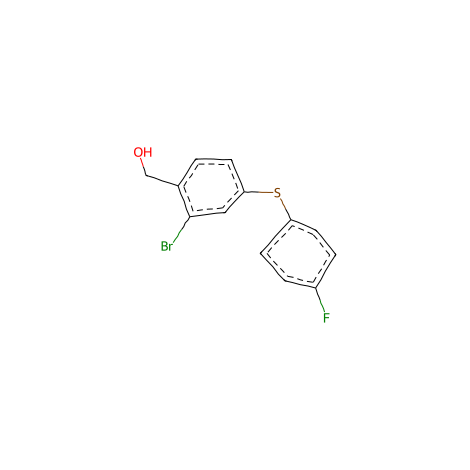 OCc1ccc(Sc2ccc(F)cc2)cc1Br